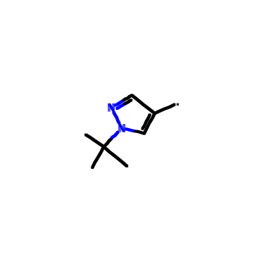 [CH2]c1cnn(C(C)(C)C)c1